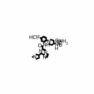 CN1CCC(c2nc(C(=O)Nc3cc(F)ccc3N3CCC(NS(N)(=O)=O)CC3)cn3ccnc23)C1.Cl